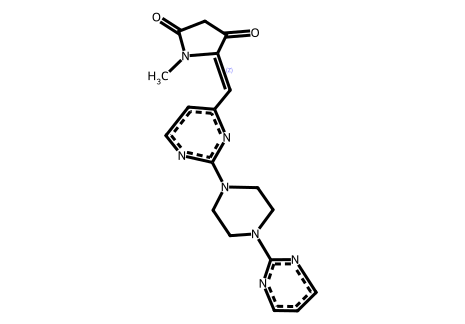 CN1C(=O)CC(=O)/C1=C/c1ccnc(N2CCN(c3ncccn3)CC2)n1